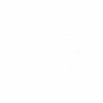 CCCCCCCCOCOC(OCCCCCCCC)=C(CCCCC)OCCCCCCCC